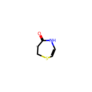 O=C1[C]CSC=CN1